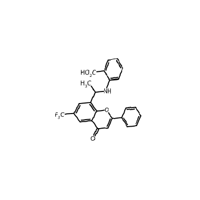 CC(Nc1ccccc1C(=O)O)c1cc(C(F)(F)F)cc2c(=O)cc(-c3ccccc3)oc12